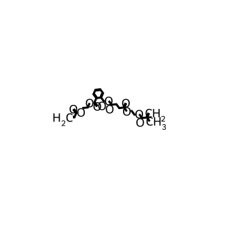 C=CC(=O)OCCOC(=O)c1ccccc1C(=O)OC(=O)CCC(=O)OCCOC(=O)C(=C)C